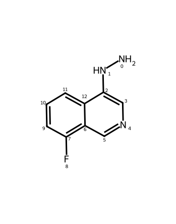 NNc1cncc2c(F)cccc12